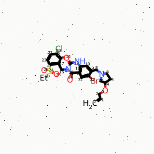 C=CCOC1CCN(Cc2cc3[nH]c(=O)n(Cc4cc(Cl)ccc4S(=O)(=O)CC)c(=O)c3cc2Br)C1